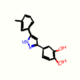 Cc1cccc(-c2cc(-c3ccc(O)c(O)c3)n[nH]2)c1